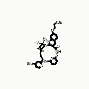 CC(C)(C)CCOc1ccc2cc3c(nc2c1)N1C[C@@H](CCC(c2cc(C(C)(C)C)ccn2)Nc2cccc(n2)SNC3=O)CC1(C)C